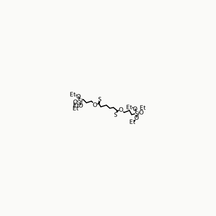 CCO[Si](CCCOC(=S)CCCCC(=S)OCCC[Si](OCC)(OCC)OCC)(OCC)OCC